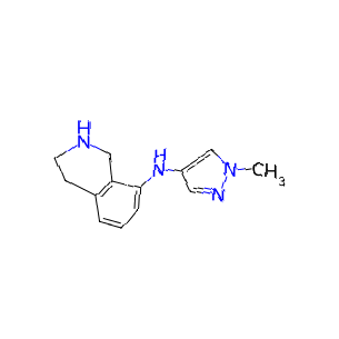 Cn1cc(Nc2cccc3c2CNCC3)cn1